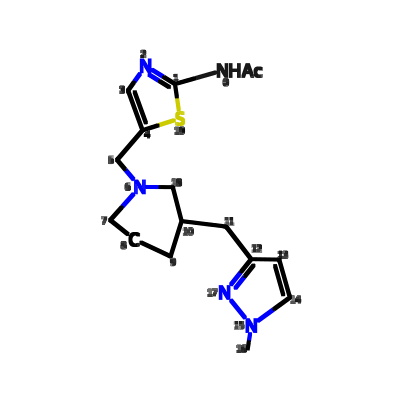 CC(=O)Nc1ncc(CN2CCCC(Cc3ccn(C)n3)C2)s1